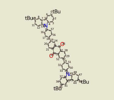 CC(C)(C)c1ccc2c(c1)c1cc(C(C)(C)C)ccc1n2-c1ccc(-c2ccc3c(c2)C(=O)c2ccc(-c4ccc(-n5c6ccc(C(C)(C)C)cc6c6cc(C(C)(C)C)ccc65)cc4)cc2C3=O)cc1